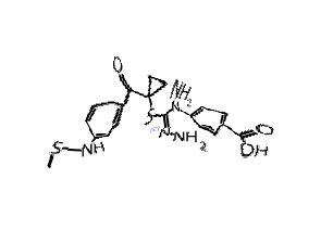 CSNc1ccc(C(=O)C2(S/C(=N/N)N(N)c3ccc(C(=O)O)cc3)CC2)cc1